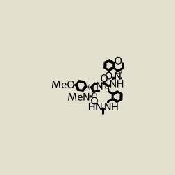 CNC(=O)[C@@H]1CN(C(=O)[C@H](Cc2ccccc2CNC(C)=N)NC(=O)N(C)[C@H]2CCOc3ccccc32)C[C@H]1c1ccc(OC)cc1